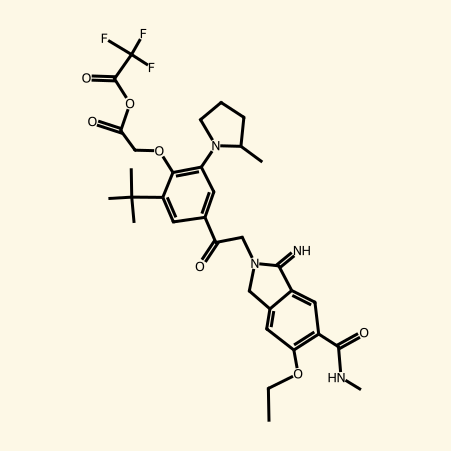 CCOc1cc2c(cc1C(=O)NC)C(=N)N(CC(=O)c1cc(N3CCCC3C)c(OCC(=O)OC(=O)C(F)(F)F)c(C(C)(C)C)c1)C2